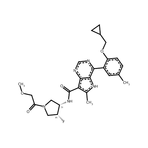 COCC(=O)N1C[C@@H](F)[C@@H](NC(=O)c2c(C)[nH]c3c(-c4cc(C)ccc4OCC4CC4)ncnc23)C1